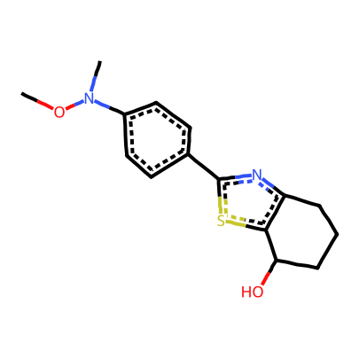 CON(C)c1ccc(-c2nc3c(s2)C(O)CCC3)cc1